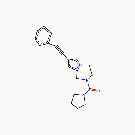 O=C(N1CCCC1)N1CCn2cc(C#Cc3ccccc3)cc2C1